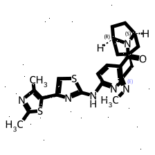 C/N=C/C[C@H]1C[C@H]2CC[C@@H](C1)N2C(=O)c1ccc(Nc2nc(-c3sc(C)nc3C)cs2)nc1